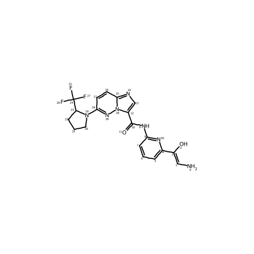 N/C=C(\O)c1cccc(NC(=O)c2cnc3ccc(N4CCCC4C(F)(F)F)nn23)n1